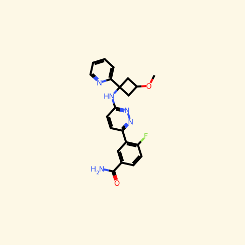 COC1CC(Nc2ccc(-c3cc(C(N)=O)ccc3F)nn2)(c2ccccn2)C1